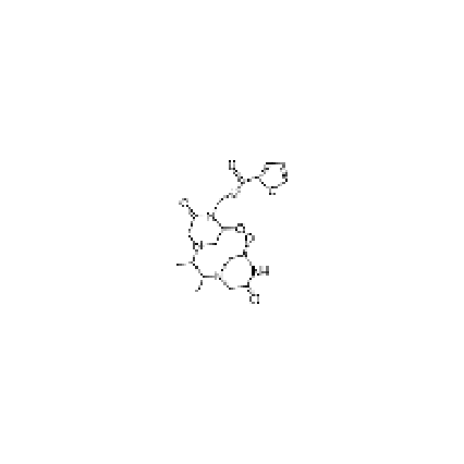 CC(C(C)N1CC(=O)N(COC(=O)c2ccco2)C(=O)C1)N1CC(=O)NC(=O)C1